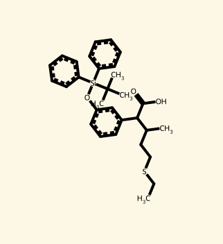 CCSCCC(C)C(C(=O)O)c1cccc(O[Si](c2ccccc2)(c2ccccc2)C(C)(C)C)c1